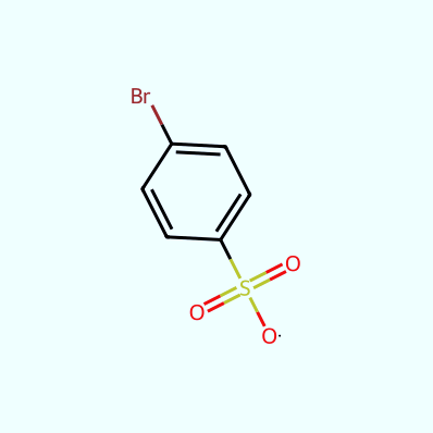 [O]S(=O)(=O)c1ccc(Br)cc1